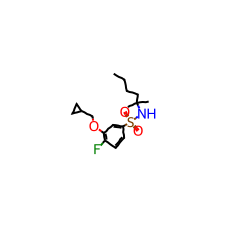 CCCCC(C)(C)NS(=O)(=O)c1ccc(F)c(OCC2CC2)c1